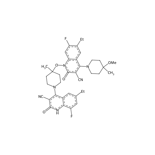 CCc1cc(F)c2[nH]c(=O)c(C#N)c(N3CCC(C)(On4c(=O)c(C#N)c(N5CCC(C)(OC)CC5)c5cc(CC)c(F)cc54)CC3)c2c1